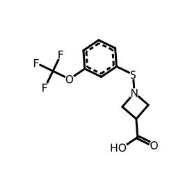 O=C(O)C1CN(Sc2cccc(OC(F)(F)F)c2)C1